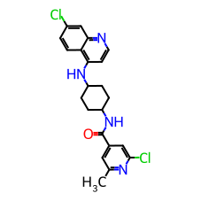 Cc1cc(C(=O)NC2CCC(Nc3ccnc4cc(Cl)ccc34)CC2)cc(Cl)n1